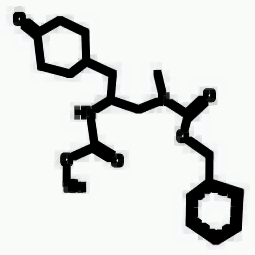 CN(CC(CC1CCC(=O)CC1)NC(=O)OC(C)(C)C)C(=O)OCc1ccccc1